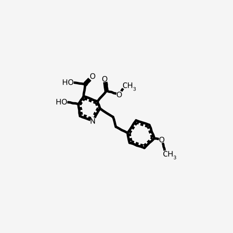 COC(=O)c1c(CCc2ccc(OC)cc2)ncc(O)c1C(=O)O